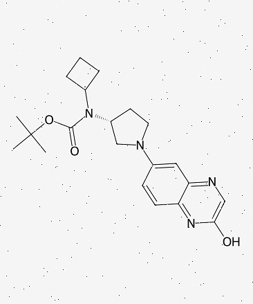 CC(C)(C)OC(=O)N(C1CCC1)[C@@H]1CCN(c2ccc3nc(O)cnc3c2)C1